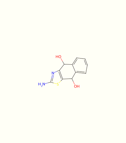 Nc1nc2c(s1)C(O)c1ccccc1C2O